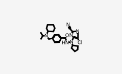 CC(C)N(Cc1ccc(C(=O)NN(c2nc(C#N)ncc2Cl)C2CCCC2)cc1)C1CCCCC1